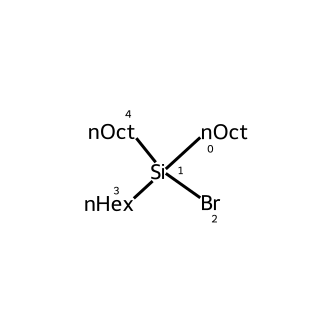 CCCCCCCC[Si](Br)(CCCCCC)CCCCCCCC